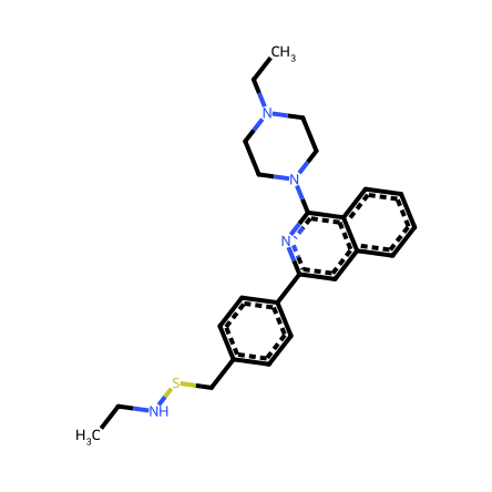 CCNSCc1ccc(-c2cc3ccccc3c(N3CCN(CC)CC3)n2)cc1